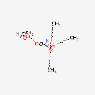 C=C(C)C(=O)OCCCCCCOc1ccc(C(C#N)=Cc2cc(OCCCCCCCCCCCC)c(OCCCCCCCCCCCC)c(OCCCCCCCCCCCC)c2)cc1